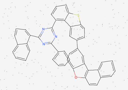 c1ccc(-c2nc(-c3cccc4ccccc34)nc(-c3cccc4sc5ccc(-c6ccc7oc8ccc9ccccc9c8c7c6)cc5c34)n2)cc1